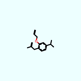 C=CCOc1cc(C(C)C)ccc1CC(=C)C